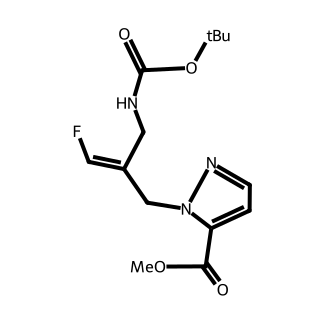 COC(=O)c1ccnn1CC(=CF)CNC(=O)OC(C)(C)C